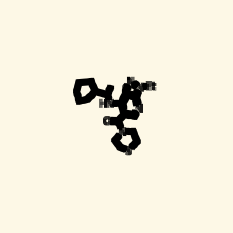 CCn1ncc2c(NC(C)C3CCCCC3)c(C(=O)N3CCSCC3)cnc21